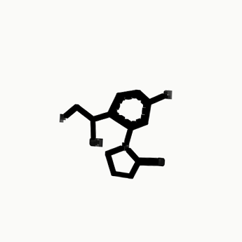 O=C1CCCN1c1cc(Cl)ccc1C(O)CF